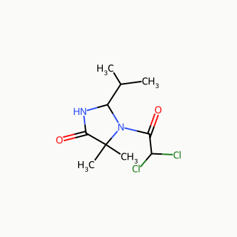 CC(C)C1NC(=O)C(C)(C)N1C(=O)C(Cl)Cl